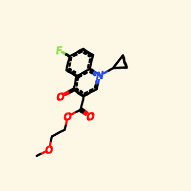 COCCOC(=O)c1cn(C2CC2)c2ccc(F)cc2c1=O